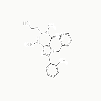 C=C(c1c(NC=O)nc(-c2ccccc2C)n1Cc1ccccc1)N(C)CCCO